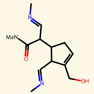 CN=CC1C(CO)=CCC1C(/C=N/C)C(=O)NC